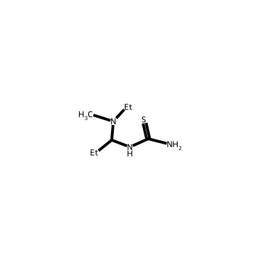 CCC(NC(N)=S)N(C)CC